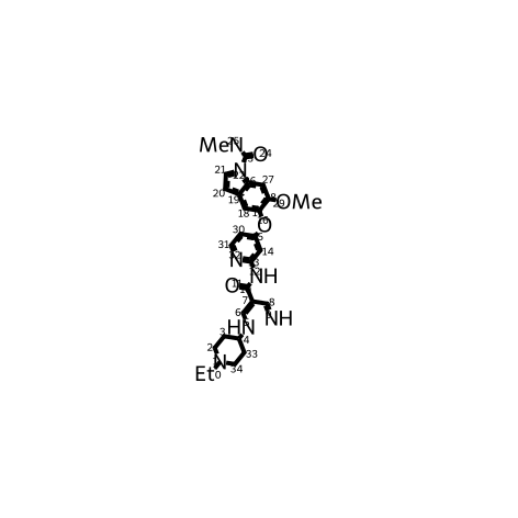 CCN1CCC(N/C=C(\C=N)C(=O)Nc2cc(Oc3cc4ccn(C(=O)NC)c4cc3OC)ccn2)CC1